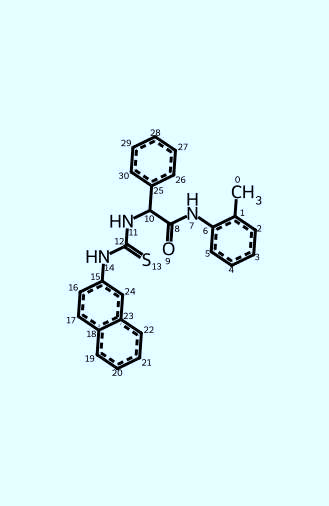 Cc1ccccc1NC(=O)C(NC(=S)Nc1ccc2ccccc2c1)c1ccccc1